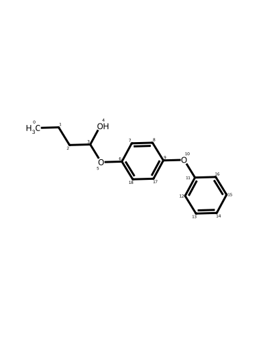 CCCC(O)Oc1ccc(Oc2ccccc2)cc1